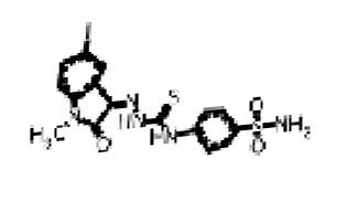 CN1C(=O)C(=NNC(=S)Nc2ccc(S(N)(=O)=O)cc2)c2cc(I)ccc21